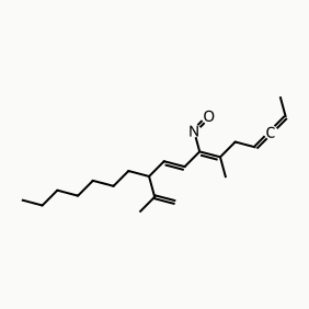 C=C(C)C(/C=C/C(N=O)=C(\C)CC=C=CC)CCCCCCC